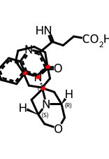 N=C(CCC(=O)O)c1nc2ccccc2n([C@H]2C[C@H]3COC[C@@H](C2)N3C2CC3CCCCC(C3)C2)c1=O